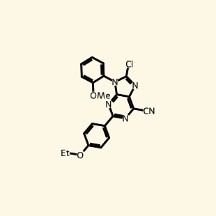 CCOc1ccc(-c2nc(C#N)c3nc(Cl)n(-c4ccccc4OC)c3n2)cc1